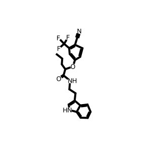 CCCC(Oc1ccc(C#N)c(C(F)(F)F)c1)C(=O)NCCc1c[nH]c2ccccc12